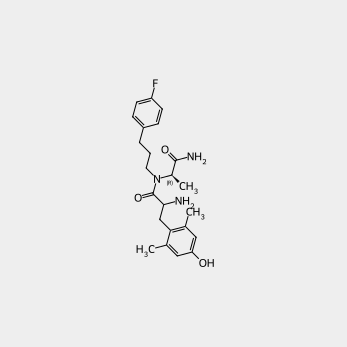 Cc1cc(O)cc(C)c1CC(N)C(=O)N(CCCc1ccc(F)cc1)[C@H](C)C(N)=O